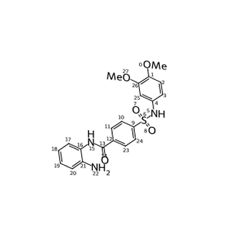 COc1ccc(NS(=O)(=O)c2ccc(C(=O)Nc3ccccc3N)cc2)cc1OC